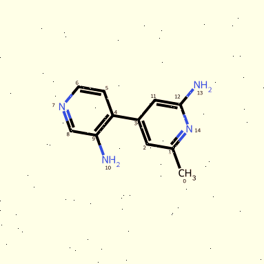 Cc1cc(-c2ccncc2N)cc(N)n1